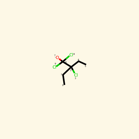 CCC(Cl)(CC)C([O])(Cl)Cl